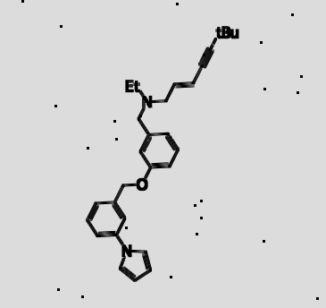 CCN(CC=CC#CC(C)(C)C)Cc1cccc(OCc2cccc(-n3cccc3)c2)c1